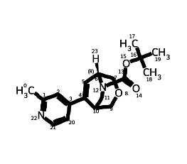 Cc1cc(C2=C[C@@H]3COCC2CN3C(=O)OC(C)(C)C)ccn1